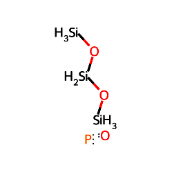 [O].[P].[SiH3]O[SiH2]O[SiH3]